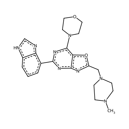 CN1CCN(Cc2nc3nc(-c4cccc5[nH]cnc45)nc(N4CCOCC4)c3o2)CC1